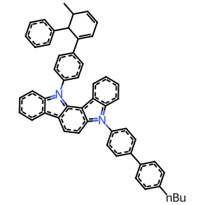 CCCCc1ccc(-c2ccc(-n3c4ccccc4c4c3ccc3c5ccccc5n(-c5ccc(C6=CC=CC(C)C6c6ccccc6)cc5)c34)cc2)cc1